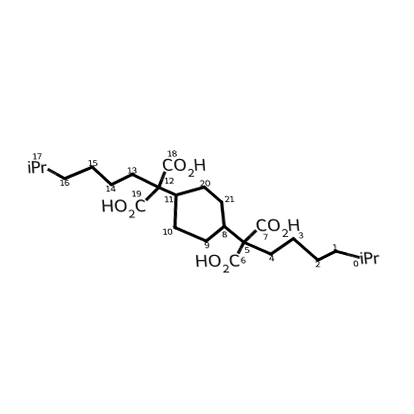 CC(C)CCCCC(C(=O)O)(C(=O)O)C1CCC(C(CCCCC(C)C)(C(=O)O)C(=O)O)CC1